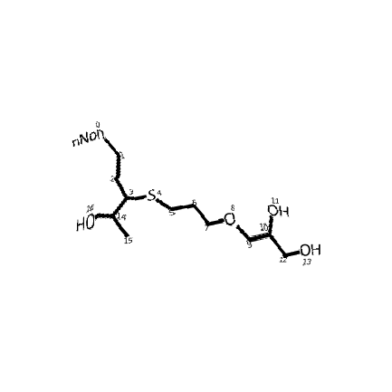 CCCCCCCCCCCC(SCCCOCC(O)CO)C(C)O